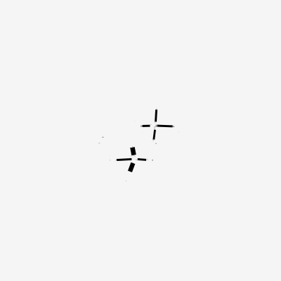 O=S(=O)(O)O.O[Si](O)(O)O.[Fe].[Ti]